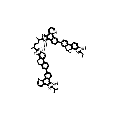 CCc1nc2c3c(ccc2[nH]1)-c1ccc(-c2ccc4c(c2)c2ncccc2c2nc(C(C)CCC(C)c5nc6c7c(ccc6[nH]5)-c5ccc(-c6ccc8c(c6)c6ncccc6c6nc(C(C)C)[nH]c86)cc5CC7)[nH]c42)cc1CO3